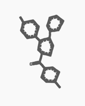 Cc1ccc(C(=O)c2ccc(-c3ccccc3)c(-c3ccc(C)cc3)c2)cc1